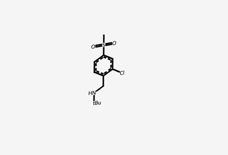 CC(C)(C)NCc1ccc(S(C)(=O)=O)cc1Cl